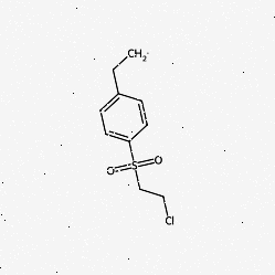 [CH2]Cc1ccc(S(=O)(=O)CCCl)cc1